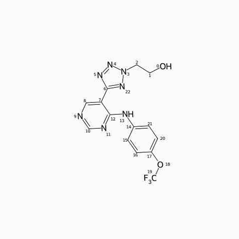 OCCn1nnc(-c2cncnc2Nc2ccc(OC(F)(F)F)cc2)n1